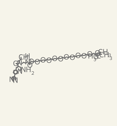 CCCN(CCCNC(=O)OCCOCCOCCOCCOCCOCCOCCOCCOCCOCCOCCC(=O)OC(C)(C)C)C(=O)C1=Cc2ccc(-c3cncnc3)cc2N=C(N)C1